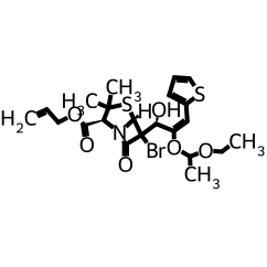 C=CCOC(=O)[C@@H]1N2C(=O)C(Br)([C@H](O)/C(=C\c3cccs3)OC(C)OCC)[C@H]2SC1(C)C